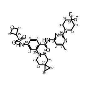 Cc1cc(NC(=O)c2ccc(NS(=O)(=O)C3COC3)cc2N2CCC3(CC2)CC3)nc(N2CCC(F)(F)CC2)n1